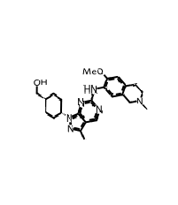 COc1cc2c(cc1Nc1ncc3c(C)nn([C@H]4CC[C@H](CO)CC4)c3n1)CN(C)CC2